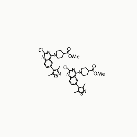 COC(=O)C1CCN(c2nc(Cl)nc3ccc(-c4c(C)noc4C)cc23)CC1.COC(=O)C1CCN(c2nc(Cl)nc3ccc(-c4c(C)noc4C)cc23)CC1